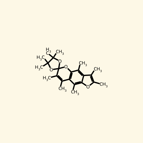 CC1=C(C)C2(Oc3c1c(C)c1oc(C)c(C)c1c3C)OC(C)(C)C(C)(C)O2